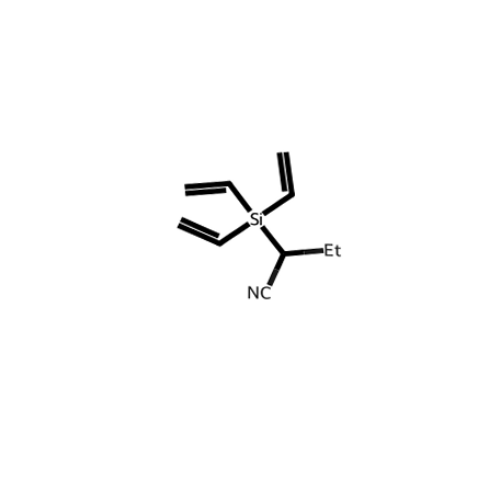 C=C[Si](C=C)(C=C)C(C#N)CC